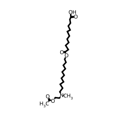 CC(=O)OCCN(C)CCCCCCCCCCCOC(=O)CCCCCCCCCCC(=O)O